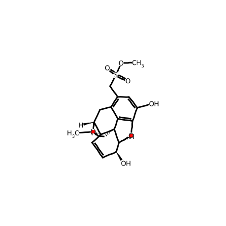 COS(=O)(=O)Cc1cc(O)c2c3c1C[C@@H]1[C@@H]4C=C[C@H](O)[C@H](O2)[C@]34CCN1C